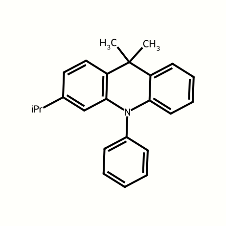 CC(C)c1ccc2c(c1)N(c1ccccc1)c1ccccc1C2(C)C